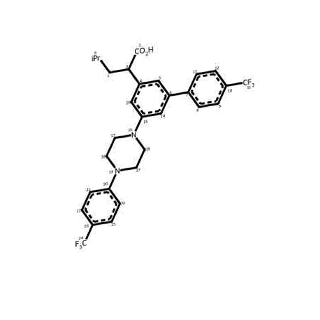 CC(C)CC(C(=O)O)c1cc(-c2ccc(C(F)(F)F)cc2)cc(N2CCN(c3ccc(C(F)(F)F)cc3)CC2)c1